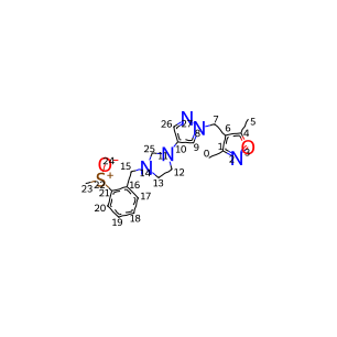 Cc1noc(C)c1Cn1cc(N2CCN(Cc3ccccc3[S+](C)[O-])C2)cn1